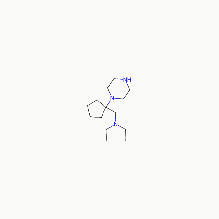 CCN(CC)CC1(N2CCNCC2)CCCC1